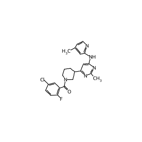 Cc1ccnc(Nc2cc(C3CCCN(C(=O)c4cc(Cl)ccc4F)C3)nc(C)n2)c1